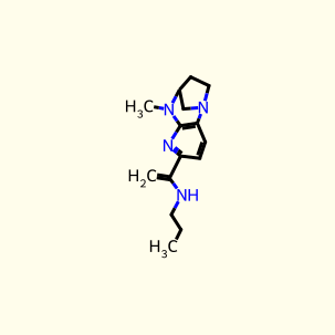 C=C(NCCC)c1ccc2c(n1)N(C)C1CCN2C1